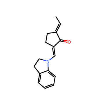 C/C=C1\CC/C(=C\N2CCc3ccccc32)C1=O